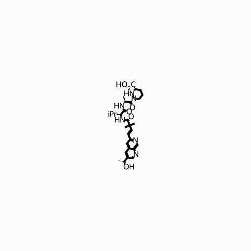 CC(C)[C@H](NC(=O)C(C)(C)/C=C/c1cc2cc([C@@H](C)O)cnc2cn1)C(=O)N[C@@H](C)C(=O)N1CCC[C@@H](C(=O)O)N1